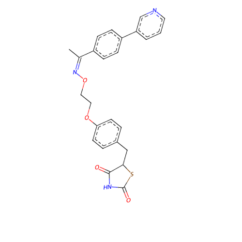 C/C(=N/OCCOc1ccc(CC2SC(=O)NC2=O)cc1)c1ccc(-c2cccnc2)cc1